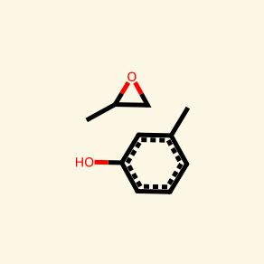 CC1CO1.Cc1cccc(O)c1